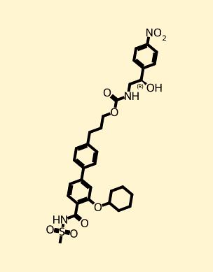 CS(=O)(=O)NC(=O)c1ccc(-c2ccc(CCCOC(=O)NC[C@H](O)c3ccc([N+](=O)[O-])cc3)cc2)cc1OC1CCCCC1